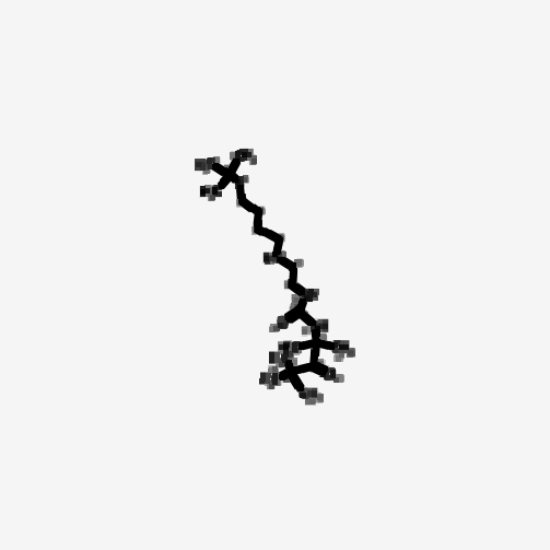 CC(C)(C)SCCCCNCCNC(=O)NC(C)(C)C(=O)C(C)(C)C